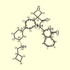 O=C(Nc1cc2ccccc2c(=O)[nH]1)C1(c2ccc(N3CCC[C@@H](NCC4CCC4)C3)cn2)COC1